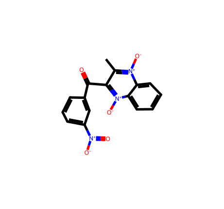 Cc1c(C(=O)c2cccc([N+](=O)[O-])c2)[n+]([O-])c2ccccc2[n+]1[O-]